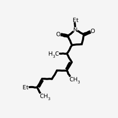 CCC(C)=CCCC(C)=CC(C)C1CC(=O)N(CC)C1=O